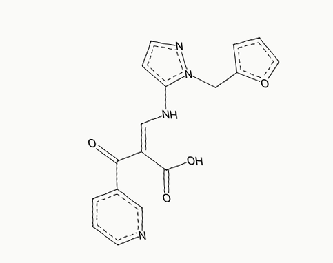 O=C(O)C(=CNc1ccnn1Cc1ccco1)C(=O)c1cccnc1